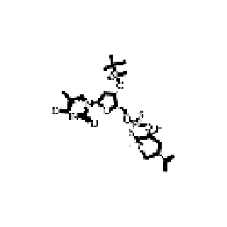 C=C(C)[C@H]1CC[C@@]2(C)S[P@](=S)(OC[C@H]3O[C@@H](n4cc(C)c(=O)[nH]c4=O)C[C@@H]3O[Si](C)(C)C(C)(C)C)O[C@@H]2C1